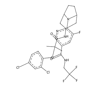 CC(C)(Oc1ccc(Cl)cc1Cl)C(=O)NC1CC2CCC(C1)N2c1ncc(C(=O)NCC(F)(F)F)cc1F